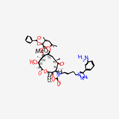 CC[C@H]1OC(=O)[C@H](C)[C@@H](O)[C@H](C)[C@@H](O[C@@H]2O[C@H](C)C[C@H](C)[C@H]2OC(=O)c2ccccc2)[C@@](C)(OC)C[C@@H](C)C(=O)[C@H](C)[C@@H]2N(CCCCn3cc(-c4cccc(N)c4)nn3)C(=O)O[C@@]21C